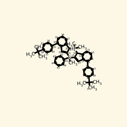 CC(C)(C)c1ccc(-c2cccc3c2C=C2[CH]3[Hf]([CH3])([CH3])[CH]3C(=Cc4c(-c5ccc(C(C)(C)C)cc5)cccc43)[Si]2(C)c2ccccc2)cc1